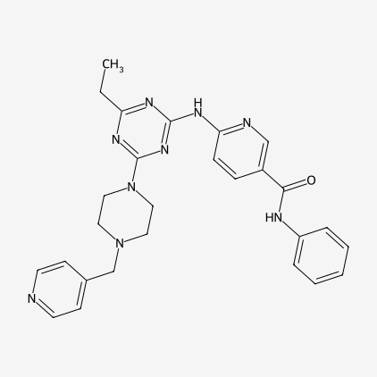 CCc1nc(Nc2ccc(C(=O)Nc3ccccc3)cn2)nc(N2CCN(Cc3ccncc3)CC2)n1